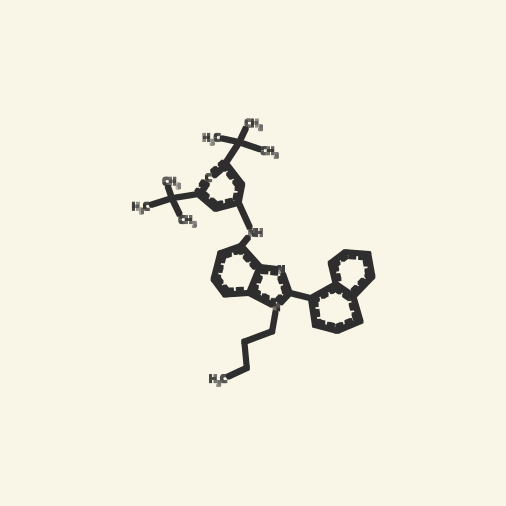 CCCCn1c(-c2cccc3ccccc23)nc2c(Nc3cc(C(C)(C)C)cc(C(C)(C)C)c3)cccc21